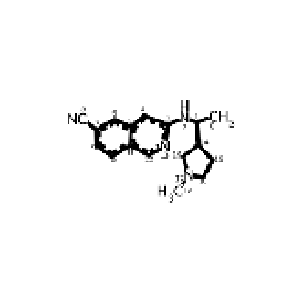 CC(Nc1cc2cc(C#N)ccc2cn1)C1CCN(C)C1